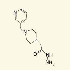 NNC(=O)CC1CCN(Cc2cccnc2)CC1